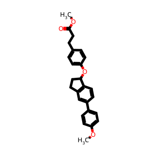 COC(=O)CCc1ccc(OC2CCc3cc(-c4ccc(OC)cc4)ccc32)cc1